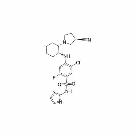 N#C[C@@H]1CCN([C@H]2CCCC[C@@H]2Nc2cc(F)c(S(=O)(=O)Nc3nccs3)cc2Cl)C1